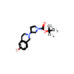 CC(C)(C)OC(=O)N1CCC(N2CCc3cc(Br)ccc3C2)C1